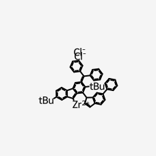 CC(C)(C)c1ccc2c(c1)[C]([Zr+2])=c1c-2cc(=C(c2ccccc2)c2ccccc2)c(C(C)(C)C)c1C1C=Cc2ccc(-c3ccccc3)cc21.[Cl-].[Cl-]